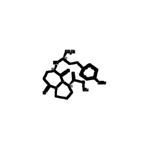 CCOC(=O)[C@H](CCc1ccc(OC)cc1)N[C@H]1CCC(=O)N2CCC[C@@H](C(=O)OC(C)(C)C)N2C1=O